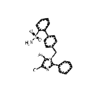 CC(=O)c1c(Cl)nc(-c2ccccc2)n1Cc1ccc(-c2ccccc2S(N)(=O)=O)cc1